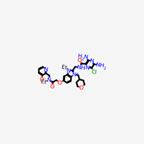 CCN(Cc1ncccc1[O-])C(=O)COc1ccc2c(c1)n(CC)c(CNC(=O)c1nc(Cl)c(N)nc1N)[n+]2CC1CCOCC1